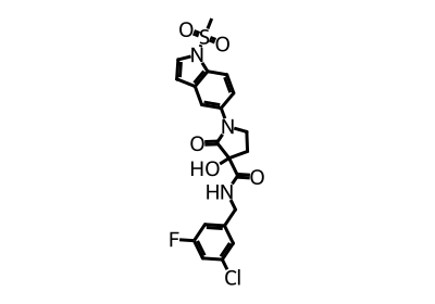 CS(=O)(=O)n1ccc2cc(N3CCC(O)(C(=O)NCc4cc(F)cc(Cl)c4)C3=O)ccc21